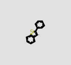 [c]1c(-c2ccccc2)sc2ccccc12